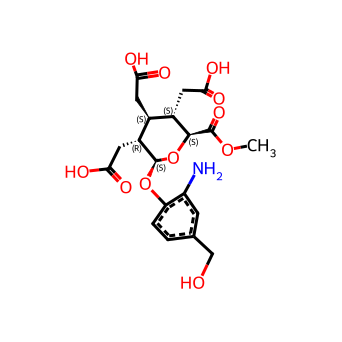 COC(=O)[C@H]1O[C@@H](Oc2ccc(CO)cc2N)[C@H](CC(=O)O)[C@@H](CC(=O)O)[C@@H]1CC(=O)O